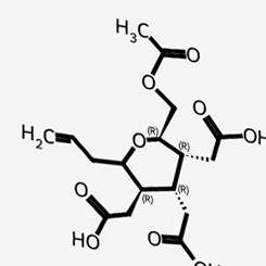 C=CCC1O[C@@H](COC(C)=O)[C@H](CC(=O)O)[C@H](CC(=O)O)[C@H]1CC(=O)O